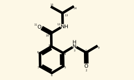 CC(=O)Nc1ccccc1C(=O)NC(C)C